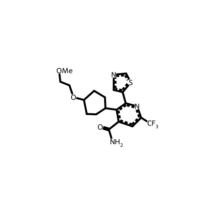 COCCOC1CCC(c2c(C(N)=O)cc(C(F)(F)F)nc2-c2cncs2)CC1